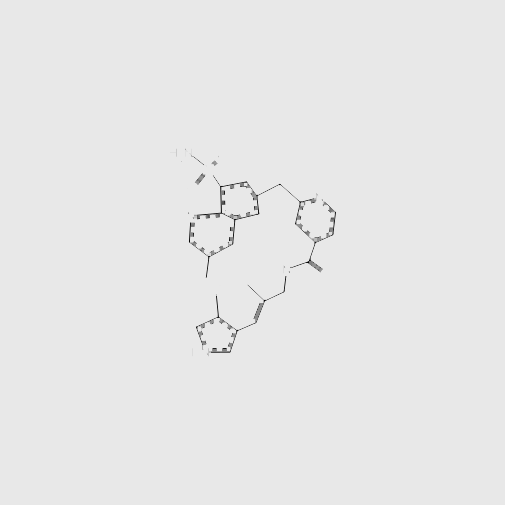 C/C(=C\c1c[nH]cc1Cl)CNC(=O)c1ccnc(Cc2cc(S(N)(=O)=O)c3ncc(C)cc3c2)c1